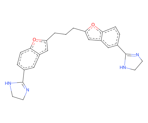 c1cc2oc(CCCc3cc4cc(C5=NCCN5)ccc4o3)cc2cc1C1=NCCN1